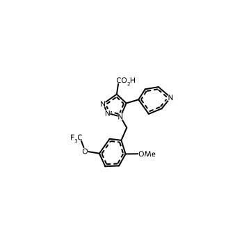 COc1ccc(OC(F)(F)F)cc1Cn1nnc(C(=O)O)c1-c1ccncc1